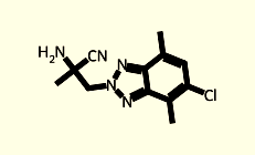 Cc1cc(Cl)c(C)c2nn(CC(C)(N)C#N)nc12